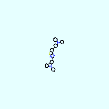 c1ccc(-n2c3ccccc3c3cc(-c4ccc5sc6nc(-c7ccc8c(c7)c7ccccc7n8-c7ccccc7)cnc6c5c4)ccc32)cc1